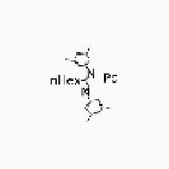 CCCCCCC(/C=N/c1cc(C)cc(C)c1)=N\c1cc(C)cc(C)c1.[Pd]